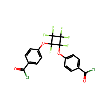 O=C(Cl)c1ccc(OC2(F)C(F)(F)C(F)(F)C2(F)Oc2ccc(C(=O)Cl)cc2)cc1